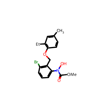 CCc1cc(C)ccc1OCc1c(Br)cccc1N(O)C(=O)OC